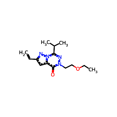 C=Cc1cc2c(=O)n(CCOCC)nc(C(C)C)n2n1